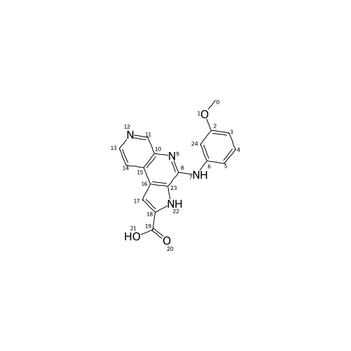 COc1cccc(Nc2nc3cnccc3c3cc(C(=O)O)[nH]c23)c1